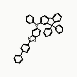 c1ccc(-c2ccc(-c3nc4cc(N(c5ccccc5)c5ccc6c(c5)C(c5ccccc5)(c5ccccc5)c5ccccc5-6)ccc4o3)cc2)cc1